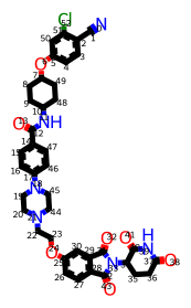 N#Cc1ccc(OC2CCC(NC(=O)c3ccc(N4CCN(CCOc5ccc6c(c5)C(=O)N(C5CCC(=O)NC5=O)C6=O)CC4)cc3)CC2)cc1Cl